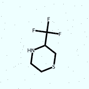 FC(F)(F)C1CSCCN1